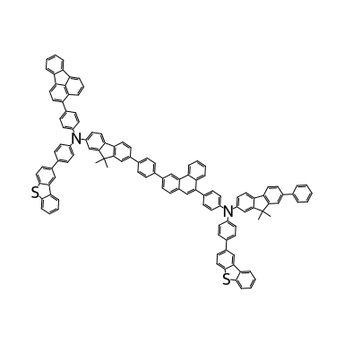 CC1(C)c2cc(-c3ccc(-c4ccc5cc(-c6ccc(N(c7ccc(-c8ccc9sc%10ccccc%10c9c8)cc7)c7ccc8c(c7)C(C)(C)c7cc(-c9ccccc9)ccc7-8)cc6)c6ccccc6c5c4)cc3)ccc2-c2ccc(N(c3ccc(-c4ccc5sc6ccccc6c5c4)cc3)c3ccc(-c4ccc5c6c(cccc46)-c4ccccc4-5)cc3)cc21